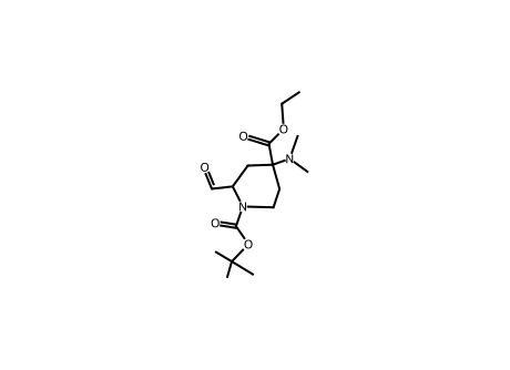 CCOC(=O)C1(N(C)C)CCN(C(=O)OC(C)(C)C)C(C=O)C1